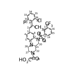 CC(=Cc1ccc2c(c1)N(S(=O)(=O)c1cccc(C(F)(F)F)c1)CC1CN(C(=O)C(=O)O)CCN21)c1c(F)cccc1Cl